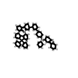 c1ccc(N(c2ccc(-c3cccc(-c4ccc5c6ccccc6n(-c6cccc7c6-c6ccccc6C7(c6ccccc6)c6ccccc6)c5c4)c3)cc2)c2ccc3sc4ccccc4c3c2)cc1